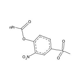 CCCC(=O)Oc1ccc(S(C)(=O)=O)cc1[N+](=O)[O-]